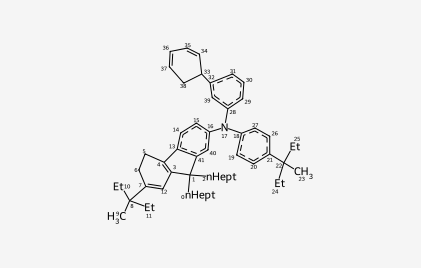 CCCCCCCC1(CCCCCCC)C2=C(CCC(C(C)(CC)CC)=C2)c2ccc(N(c3ccc(C(C)(CC)CC)cc3)c3cccc(C4C=CC=CC4)c3)cc21